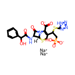 O=C([O-])C1=C(C(CP(=O)([O-])O)Sc2nnn[nH]2)CS[C@H]2[C@H](NC(=O)C(O)c3ccccc3)C(=O)N12.[Na+].[Na+]